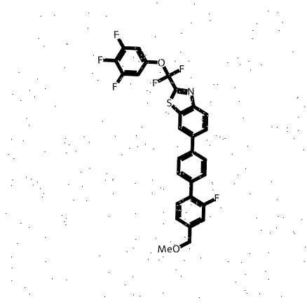 COCc1ccc(-c2ccc(-c3ccc4nc(C(F)(F)Oc5cc(F)c(F)c(F)c5)sc4c3)cc2)c(F)c1